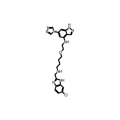 Clc1ccc2nc(CNCCCCOCCNc3cc(-n4cnnc4)cc4[nH]ncc34)[nH]c2c1